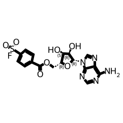 Nc1ncnc2c1ncn2[C@@H]1O[C@H](COC(=O)c2ccc(S(=O)(=O)F)cc2)[C@@H](O)[C@H]1O